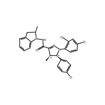 CC1Cc2ccccc2N1NC(=O)C1=NN(c2ccc(Cl)cc2Cl)[C@@H](c2ccc(Cl)cc2)[C@H]1C